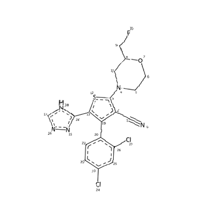 N#Cc1c(N2CCOC(CF)C2)sc(-c2nnc[nH]2)c1-c1ccc(Cl)cc1Cl